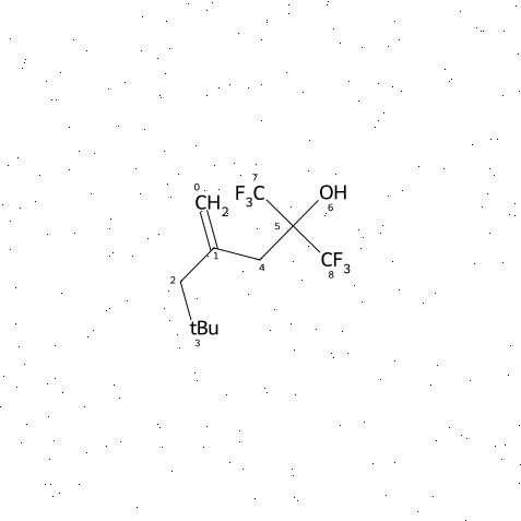 C=C(CC(C)(C)C)CC(O)(C(F)(F)F)C(F)(F)F